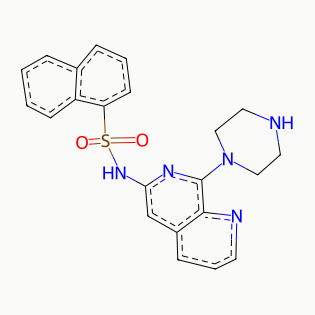 O=S(=O)(Nc1cc2cccnc2c(N2CCNCC2)n1)c1cccc2ccccc12